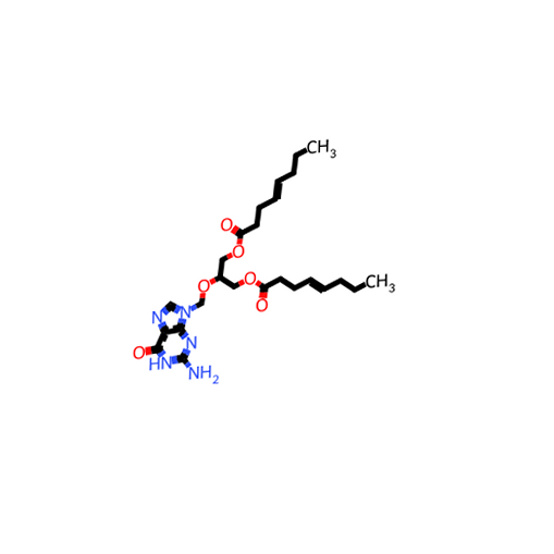 CCCC=CCCC(=O)OCC(COC(=O)CCC=CCCC)OCn1cnc2c(=O)[nH]c(N)nc21